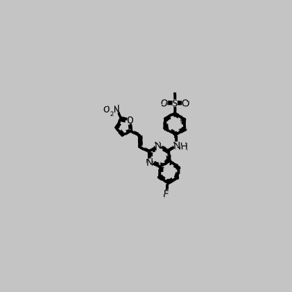 CS(=O)(=O)c1ccc(Nc2nc(C=Cc3ccc([N+](=O)[O-])o3)nc3cc(F)ccc23)cc1